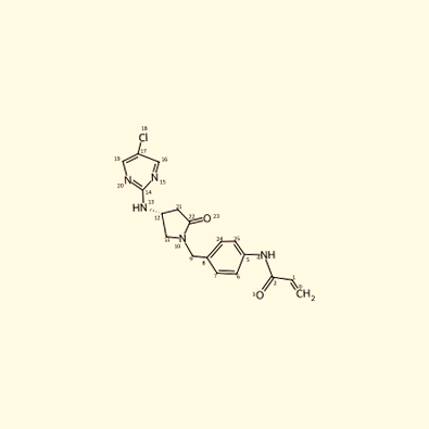 C=CC(=O)Nc1ccc(CN2C[C@H](Nc3ncc(Cl)cn3)CC2=O)cc1